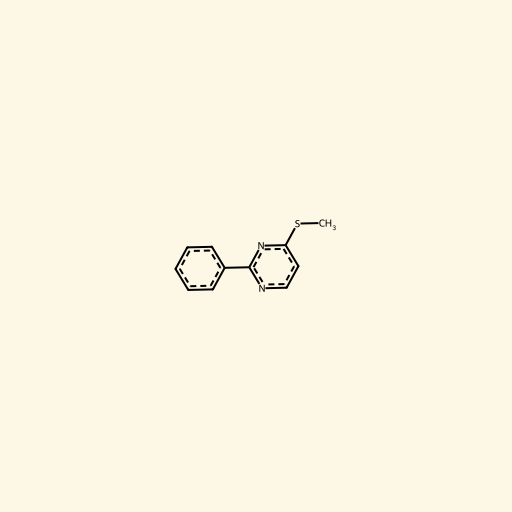 CSc1ccnc(-c2ccccc2)n1